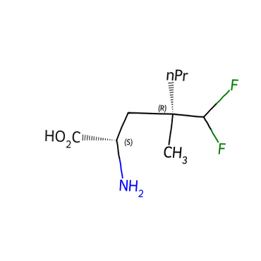 CCC[C@](C)(C[C@H](N)C(=O)O)C(F)F